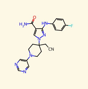 N#CCC1(n2cc(C(N)=O)c(Nc3ccc(F)cc3)n2)CCN(c2cncnc2)CC1